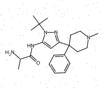 CC(N)C(=O)Nc1cc(C2(c3ccccc3)CCN(C)CC2)nn1C(C)(C)C